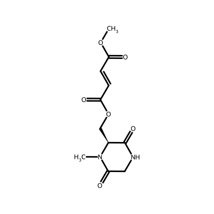 COC(=O)/C=C/C(=O)OC[C@H]1C(=O)NCC(=O)N1C